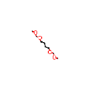 COCOCCCCOCOC